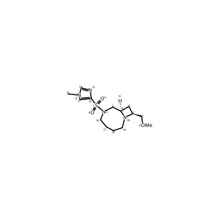 COC[C@@H]1C[C@@H]2CN(S(=O)(=O)c3cn(C)cn3)CCCCN12